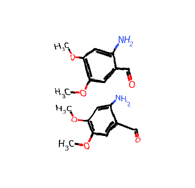 COc1cc(N)c(C=O)cc1OC.COc1cc(N)c(C=O)cc1OC